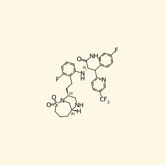 NC(=O)[C@@H](Nc1cccc(F)c1CC[C@H]1CN[C@@H]2CCCS(=O)(=O)N1C2)C(c1ccc(F)cc1)c1ccc(C(F)(F)F)cn1